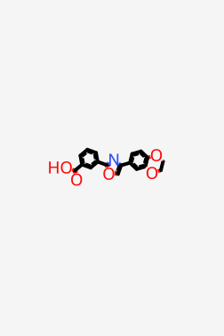 O=C(O)c1cccc(-c2nc(-c3ccc4c(c3)OCCO4)co2)c1